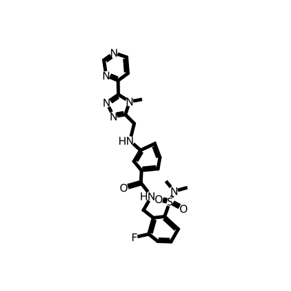 CN(C)S(=O)(=O)c1cccc(F)c1CNC(=O)c1cccc(NCc2nnc(-c3ccncn3)n2C)c1